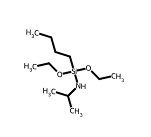 CCCC[Si](NC(C)C)(OCC)OCC